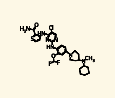 CN(C1CCCCC1)C1CCN(c2ccc(Nc3ncc(Cl)c(Nc4ccsc4C(N)=O)n3)c(OC(F)F)c2)CC1